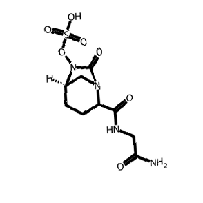 NC(=O)CNC(=O)C1CC[C@@H]2CN1C(=O)N2OS(=O)(=O)O